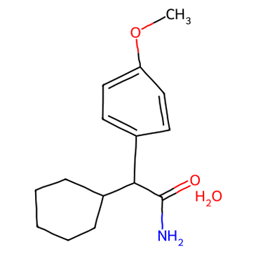 COc1ccc(C(C(N)=O)C2CCCCC2)cc1.O